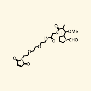 COC(C(C)C(=O)NCC(=O)NCCOCCOCCN1C(=O)C=CC1=O)C1CCCN1C=O